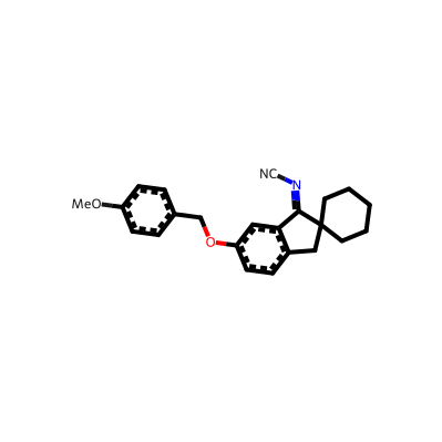 COc1ccc(COc2ccc3c(c2)/C(=N\C#N)C2(CCCCC2)C3)cc1